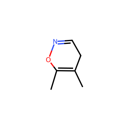 CC1=C(C)ON=CC1